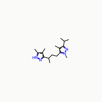 Cc1[nH]nc(C(C)CCc2c(C)c(C(C)C)nn2C)c1C